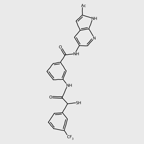 CC(=O)c1cc2cc(NC(=O)c3cccc(NC(=O)C(S)c4cccc(C(F)(F)F)c4)c3)cnc2[nH]1